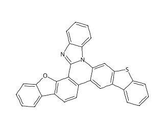 c1ccc2c(c1)nc1c3c(ccc4c5ccccc5oc43)c3cc4c(cc3n21)sc1ccccc14